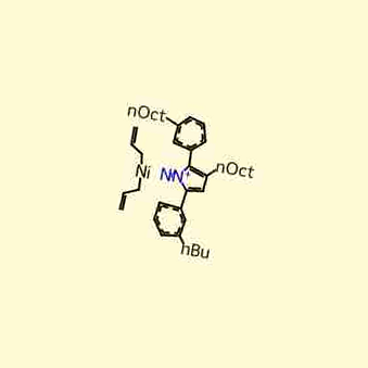 C=C[CH2][Ni][CH2]C=C.CCCCCCCCC1=C(c2cccc(CCCCCCCC)c2)[N+](=[N-])C(c2cccc(CCCC)c2)=C1